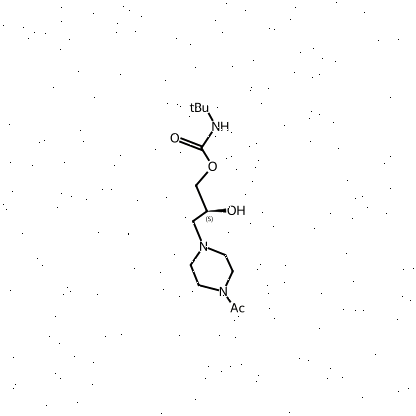 CC(=O)N1CCN(C[C@H](O)COC(=O)NC(C)(C)C)CC1